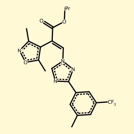 Cc1cc(-c2ncn(/C=C(/C(=O)OC(C)C)c3c(C)noc3C)n2)cc(C(F)(F)F)c1